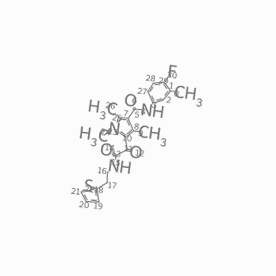 Cc1cc(NC(=O)c2c(C)c(C(=O)C(=O)NCCc3cccs3)n(C)c2C)ccc1F